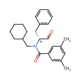 Cc1cc(C)cc(C(=O)N(CC2CCCCC2)[C@@H](C=O)Cc2ccccc2)c1